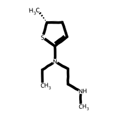 CCN(CCNC)C1=CC[C@@H](C)S1